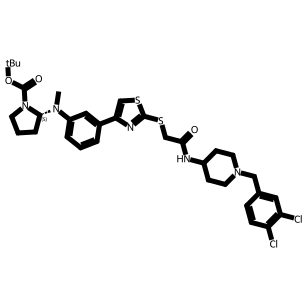 CN(c1cccc(-c2csc(SCC(=O)NC3CCN(Cc4ccc(Cl)c(Cl)c4)CC3)n2)c1)[C@@H]1CCCN1C(=O)OC(C)(C)C